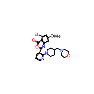 CCc1cc(OC)cc2nc(-c3cccnc3N3CCC(CN4CCOCC4)CC3)oc(=O)c12